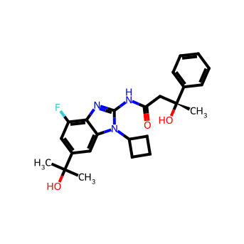 CC(C)(O)c1cc(F)c2nc(NC(=O)C[C@@](C)(O)c3ccccc3)n(C3CCC3)c2c1